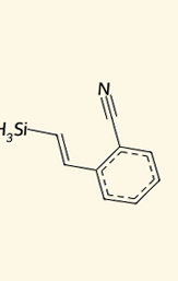 N#Cc1ccccc1C=C[SiH3]